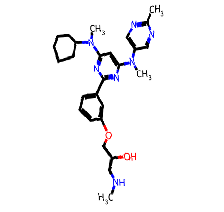 CNCC(O)COc1cccc(-c2nc(N(C)c3cnc(C)nc3)cc(N(C)C3CCCCC3)n2)c1